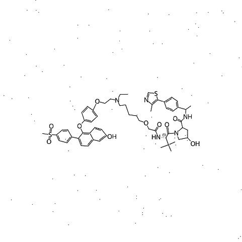 CCN(CCCCCOCC(=O)N[C@H](C(=O)N1CC(O)CC1C(=O)NC(C)c1ccc(-c2scnc2C)cc1)C(C)(C)C)CCOc1ccc(Oc2c(-c3ccc(S(C)(=O)=O)cc3)ccc3cc(O)ccc23)cc1